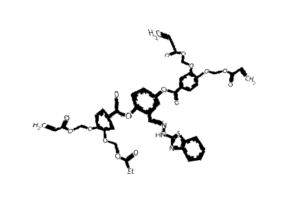 C=CC(=O)OCOc1ccc(C(=O)Oc2ccc(OC(=O)c3ccc(OCOC(=O)C=C)c(OCOC(=O)CC)c3)c(/C=N/Nc3nc4ccccc4s3)c2)cc1OCOC(=O)C=C